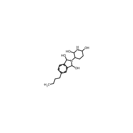 [CH2]CCCc1ccc2c(c1)C(O)N(C1CCC(O)NC1O)C2O